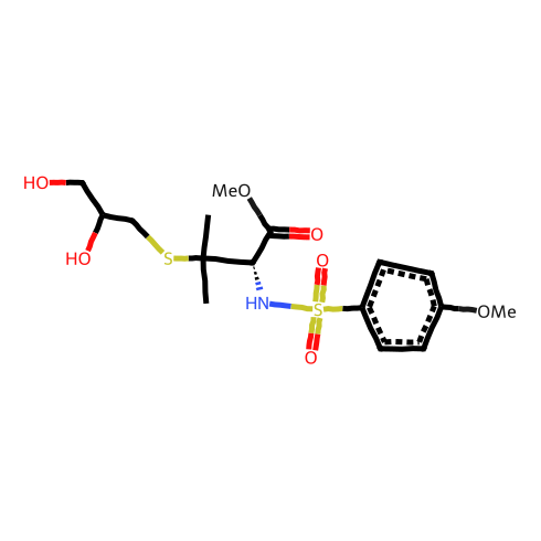 COC(=O)[C@H](NS(=O)(=O)c1ccc(OC)cc1)C(C)(C)SCC(O)CO